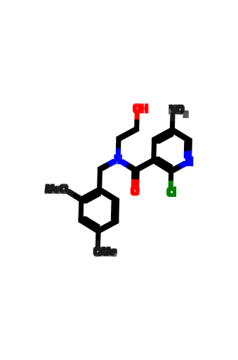 COc1ccc(CN(CCO)C(=O)c2cc([N+](=O)[O-])cnc2Cl)c(OC)c1